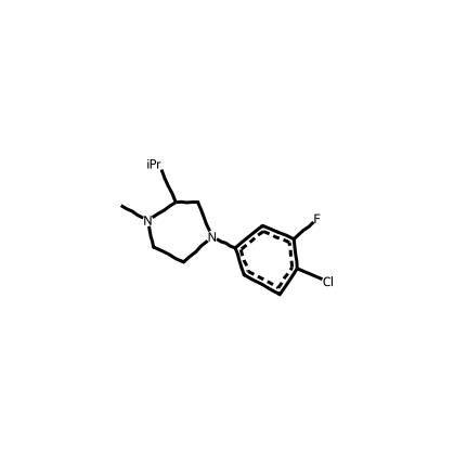 CC(C)C1CN(c2ccc(Cl)c(F)c2)CCN1C